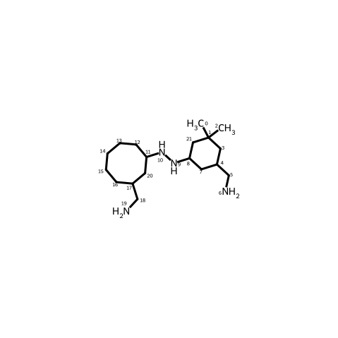 CC1(C)CC(CN)CC(NNC2CCCCCC(CN)C2)C1